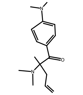 C=CCC(C)(C(=O)c1ccc(N(C)C)cc1)N(C)C